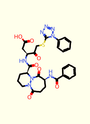 O=C(O)C[C@H](NC(=O)[C@@H]1CCCN2C(=O)CC[C@H](NC(=O)c3ccccc3)C(=O)N12)C(=O)CSc1nnnn1-c1ccccc1